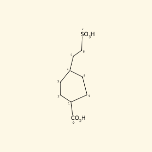 O=C(O)C1CCC(CCS(=O)(=O)O)CC1